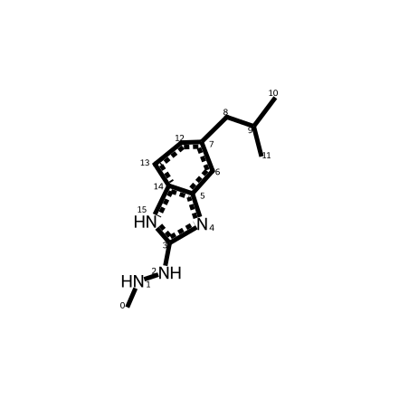 CNNc1nc2cc(CC(C)C)ccc2[nH]1